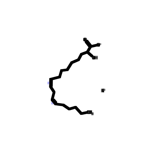 CCCCC/C=C\C/C=C\CCCCCCC(O)C(=O)[O-].[K+]